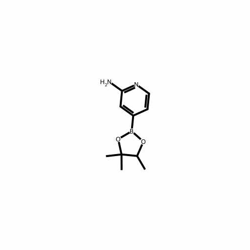 CC1OB(c2ccnc(N)c2)OC1(C)C